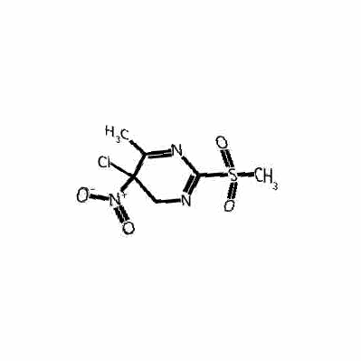 CC1=NC(S(C)(=O)=O)=NCC1(Cl)[N+](=O)[O-]